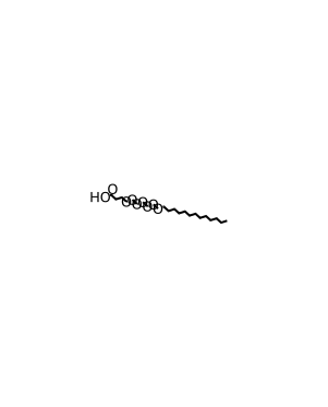 CCCCCCCCCCCCCOOOOOOOCCC(=O)O